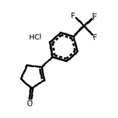 Cl.O=C1C=C(c2ccc(C(F)(F)F)cc2)CC1